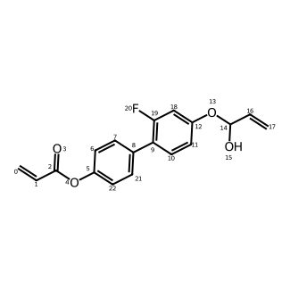 C=CC(=O)Oc1ccc(-c2ccc(OC(O)C=C)cc2F)cc1